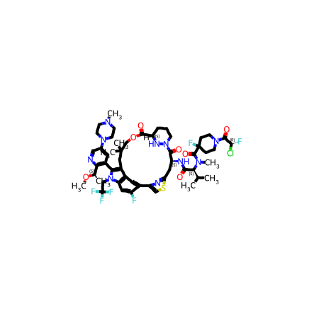 CO[C@@H](C)c1ncc(N2CCN(C)CC2)cc1-c1c2c3cc(c(F)cc3n1CC(F)(F)F)-c1csc(n1)C[C@H](NC(=O)[C@H](C(C)C)N(C)C(=O)C1(F)CCN(C(=O)[C@H](F)Cl)CC1)C(=O)N1CCC[C@H](N1)C(=O)OCC(C)(C)C2